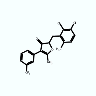 Cc1ccc(Cl)c(Cl)c1CC1OC(N)=C(c2cccc(C(F)(F)F)c2)C1=O